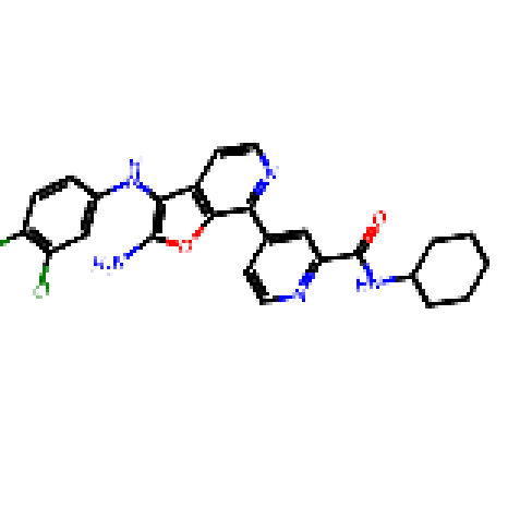 Nc1oc2c(-c3ccnc(C(=O)NC4CCCCC4)c3)nccc2c1Nc1ccc(F)c(Cl)c1